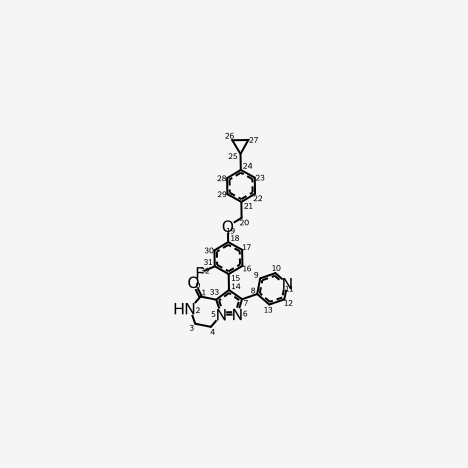 O=C1NCCn2nc(-c3ccncc3)c(-c3ccc(OCc4ccc(C5CC5)cc4)cc3F)c21